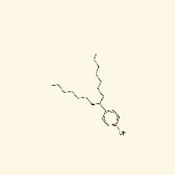 CCCCCCCC(CCCCCCC)c1ccc(O)cc1